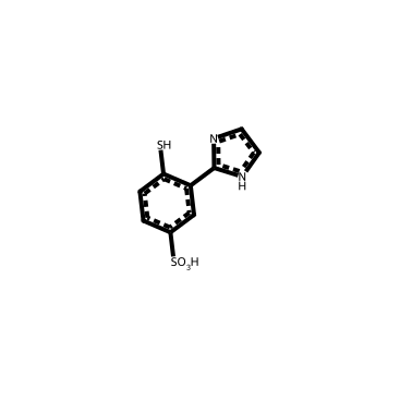 O=S(=O)(O)c1ccc(S)c(-c2ncc[nH]2)c1